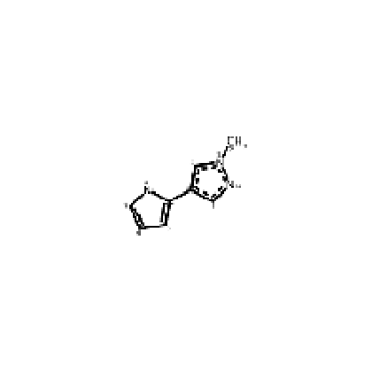 Cn1cc(C2=CC=C[N]2)cn1